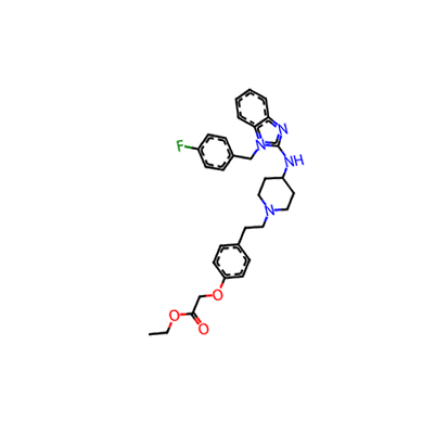 CCOC(=O)COc1ccc(CCN2CCC(Nc3nc4ccccc4n3Cc3ccc(F)cc3)CC2)cc1